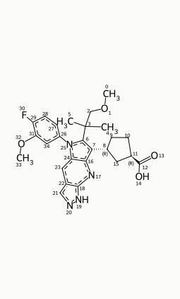 COCC(C)(C)c1c([C@@H]2CC[C@@H](C(=O)O)C2)c2nc3[nH]ncc3cc2n1-c1ccc(F)c(OC)c1